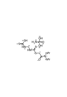 CCCN(CCC)C(=O)CSC(=S)NCNC(=S)S.NP(=O)(O)O